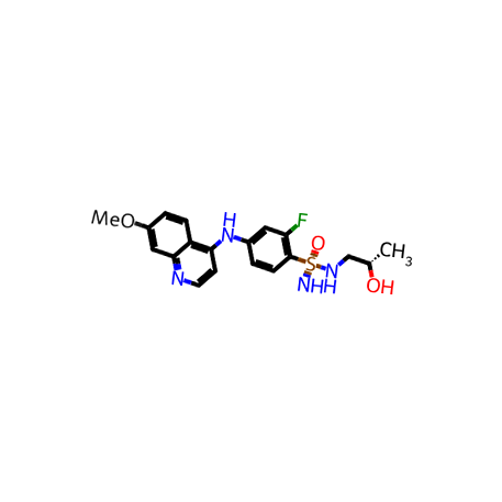 COc1ccc2c(Nc3ccc(S(=N)(=O)NC[C@H](C)O)c(F)c3)ccnc2c1